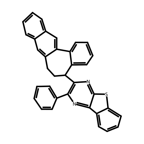 c1ccc(-c2nc3c(nc2C2CCc4cc5ccccc5cc4-c4ccccc42)sc2ccccc23)cc1